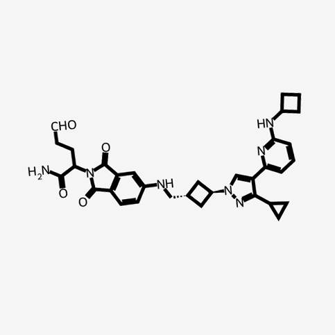 NC(=O)C(CCC=O)N1C(=O)c2ccc(NC[C@H]3C[C@H](n4cc(-c5cccc(NC6CCC6)n5)c(C5CC5)n4)C3)cc2C1=O